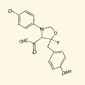 COc1ccc(CC2(F)OCN(c3ccc(Cl)cc3)C2C(=O)C=O)cc1